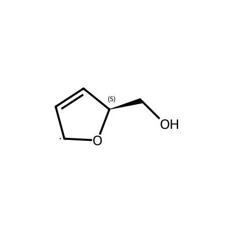 OC[C@@H]1C=C[CH]O1